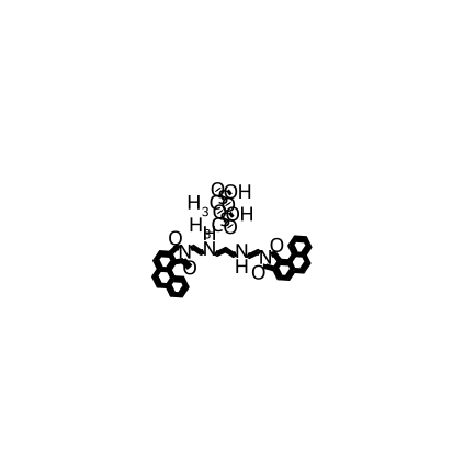 CS(=O)(=O)O.CS(=O)(=O)O.O=C1c2ccc3ccc4ccccc4c3c2C(=O)N1CCNCCCNCCN1C(=O)c2ccc3ccc4ccccc4c3c2C1=O